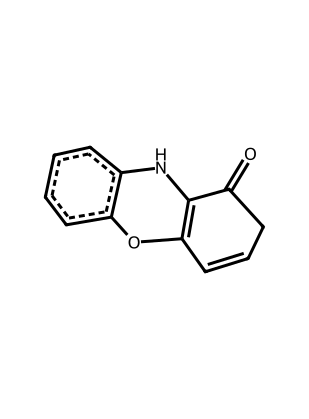 O=C1CC=CC2=C1Nc1ccccc1O2